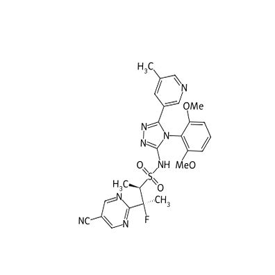 COc1cccc(OC)c1-n1c(NS(=O)(=O)[C@H](C)[C@@](C)(F)c2ncc(C#N)cn2)nnc1-c1cncc(C)c1